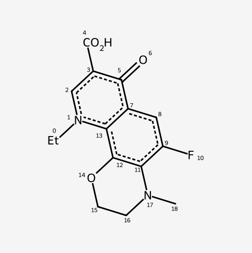 CCn1cc(C(=O)O)c(=O)c2cc(F)c3c(c21)OCCN3C